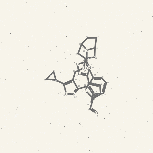 O=Cc1ccc(-c2noc(N3C4CCC3CC(OCc3c(-c5c(Cl)cccc5Cl)noc3C3CC3)C4)n2)s1